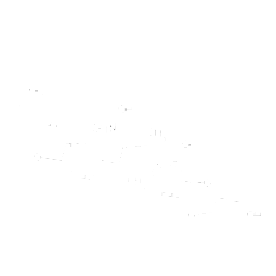 CC(C(=NO)C(C)c1ccc2c(c1O)OC(CO)CO2)c1ccc2c(c1O)OC(CO)CO2